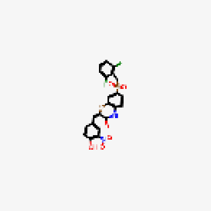 O=C1Nc2ccc(S(=O)(=O)Cc3c(F)cccc3F)cc2S/C1=C/c1ccc(O)c([N+](=O)[O-])c1